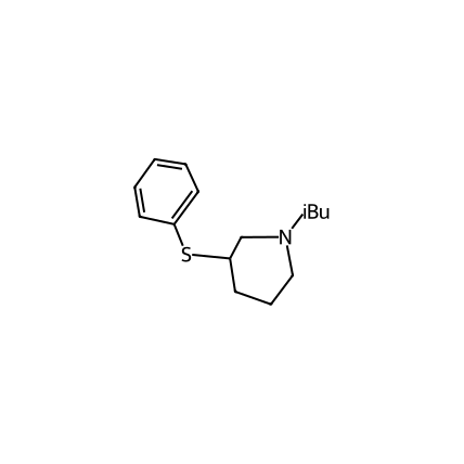 CCC(C)N1CCCC(Sc2ccccc2)C1